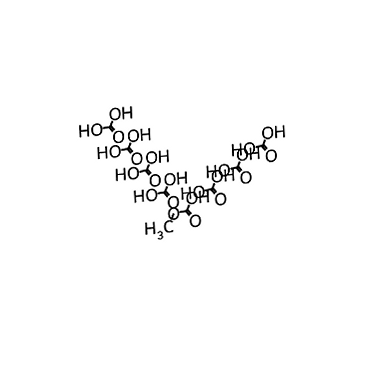 COC(=O)O.O=C(O)O.O=C(O)O.O=C(O)O.O=C(O)O.O=C(O)O.O=C(O)O.O=C(O)O